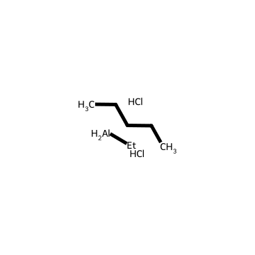 CCCCC.C[CH2][AlH2].Cl.Cl